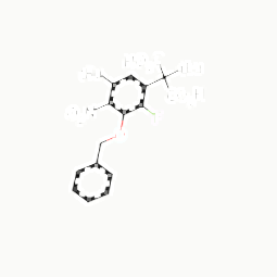 CC(C)(C)c1cc(C(C(=O)O)(C(=O)O)C(C)(C)C)c(F)c(OCc2ccccc2)c1[N+](=O)[O-]